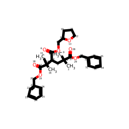 CC(C)(CC(C(=O)OCC1CCCO1)C(C)(C)C(=O)OCc1ccccc1)C(=O)OCc1ccccc1